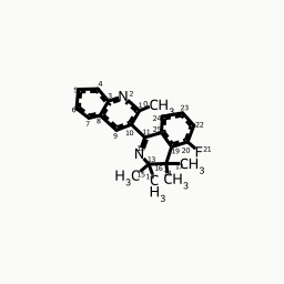 Cc1nc2ccccc2cc1C1=NC(C)(C)C(C)(C)c2c(F)cccc21